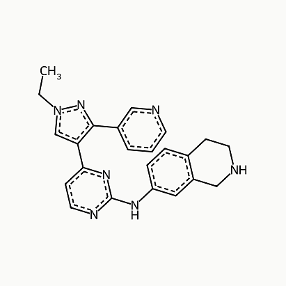 CCn1cc(-c2ccnc(Nc3ccc4c(c3)CNCC4)n2)c(-c2cccnc2)n1